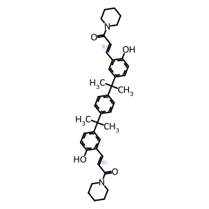 CC(C)(c1ccc(C(C)(C)c2ccc(O)c(/C=C/C(=O)N3CCCCC3)c2)cc1)c1ccc(O)c(/C=C/C(=O)N2CCCCC2)c1